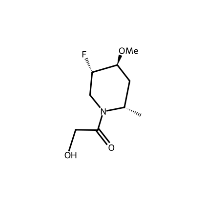 CO[C@H]1C[C@H](C)N(C(=O)CO)C[C@@H]1F